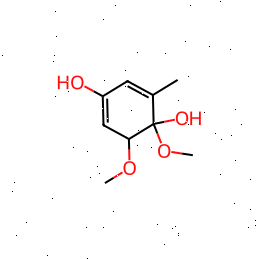 COC1C=C(O)C=C(C)C1(O)OC